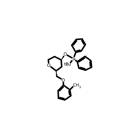 Cc1ccccc1OC[C@@H]1C[C@H](O[Si](c2ccccc2)(c2ccccc2)C(C)(C)C)CCO1